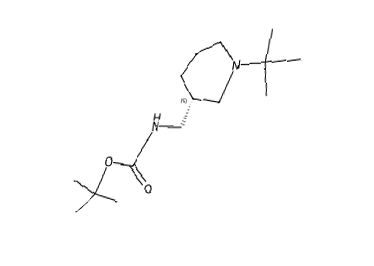 CC(C)(C)OC(=O)NC[C@@H]1CCCN(C(C)(C)C)C1